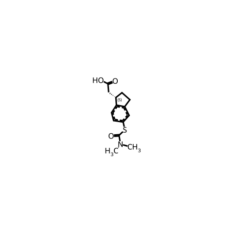 CN(C)C(=O)Sc1ccc2c(c1)CC[C@H]2CC(=O)O